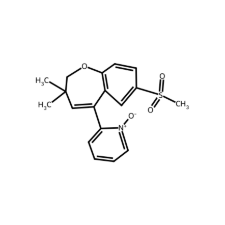 CC1(C)C=C(c2cccc[n+]2[O-])c2cc(S(C)(=O)=O)ccc2OC1